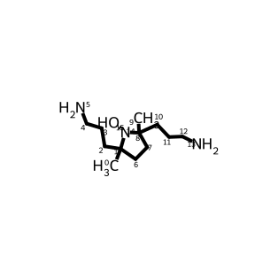 CC1(CCCN)CCC(C)(CCCN)N1O